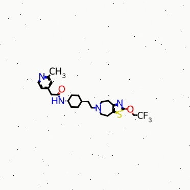 Cc1cc(CC(=O)N[C@H]2CC[C@H](CCN3CCc4nc(OCC(F)(F)F)sc4CC3)CC2)ccn1